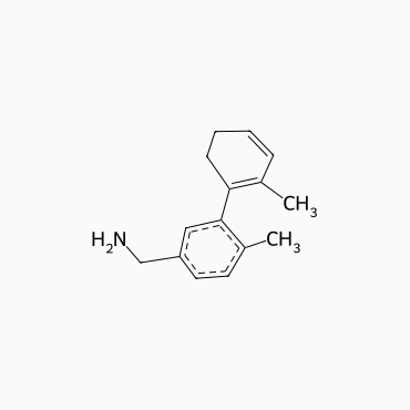 CC1=C(c2cc(CN)ccc2C)CCC=C1